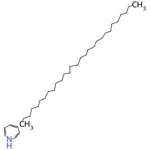 C1=CC=CNC=C1.CCCCCCCCCCCCCCCCCCCCCCCCCCCCC